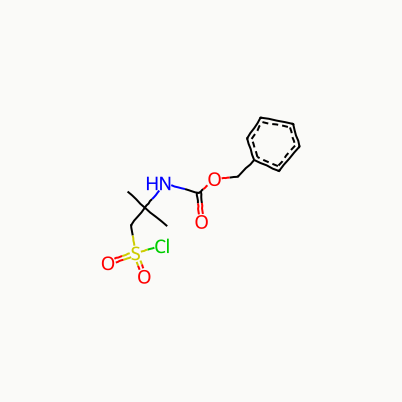 CC(C)(CS(=O)(=O)Cl)NC(=O)OCc1ccccc1